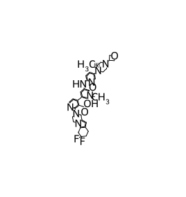 C[C@H]1CN(C2COC2)CCN1c1ccc(Nc2cc(-c3ccnc(N4CCn5c(cc6c5CC(F)(F)CC6)C4=O)c3CO)cn(C)c2=O)nc1